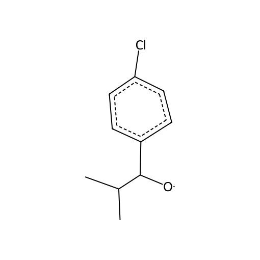 CC(C)C([O])c1ccc(Cl)cc1